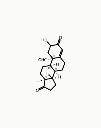 C[C@]12CC[C@@H]3[C@@H](CCC4=CC(=O)C(O)C[C@@]43C=O)[C@@H]1CCC2=O